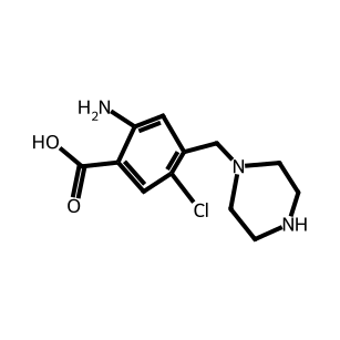 Nc1cc(CN2CCNCC2)c(Cl)cc1C(=O)O